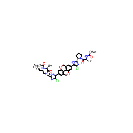 C=CCCN(Cc1nc(Cl)c(-c2cc3c4c(c2)OCc2cc(-c5[nH]c([C@@H]6CCCN6C(=O)[C@@H](NC(=O)OC)C(C)C)nc5Cl)cc(c2-4)OC3)[nH]1)C(=O)[C@@H](NC(=O)OC)C(C)C